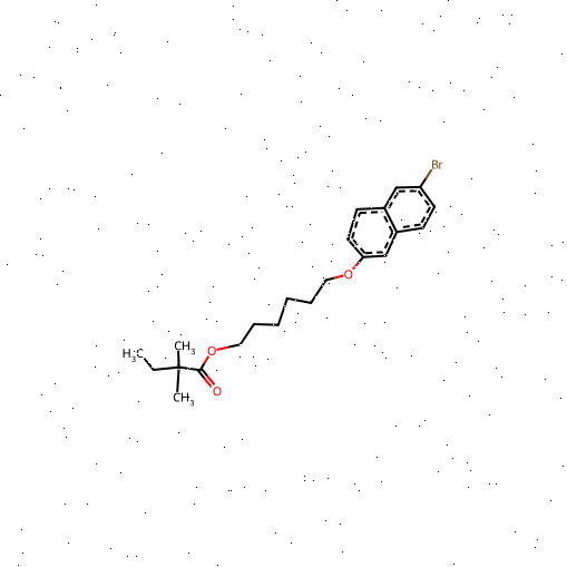 CCC(C)(C)C(=O)OCCCCCCOc1ccc2cc(Br)ccc2c1